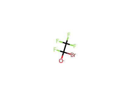 [O]C(F)(Br)C(F)(F)F